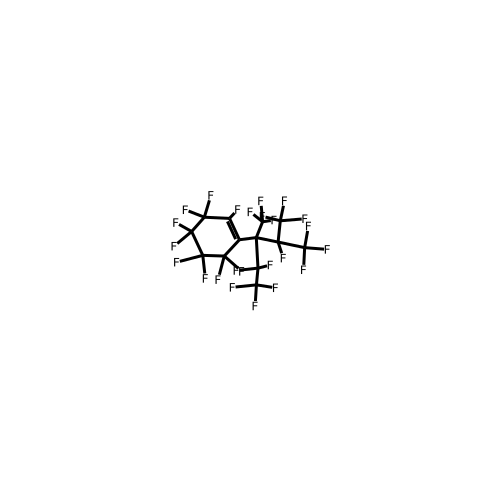 FC1=C(C(C(F)(F)F)(C(F)(F)C(F)(F)F)C(F)(C(F)(F)F)C(F)(F)F)C(F)(F)C(F)(F)C(F)(F)C1(F)F